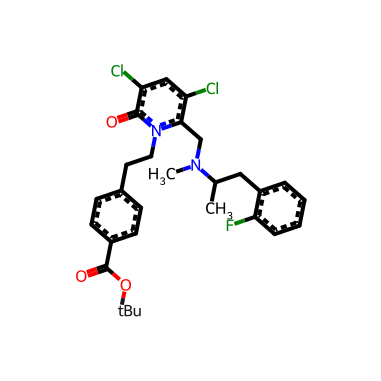 CC(Cc1ccccc1F)N(C)Cc1c(Cl)cc(Cl)c(=O)n1CCc1ccc(C(=O)OC(C)(C)C)cc1